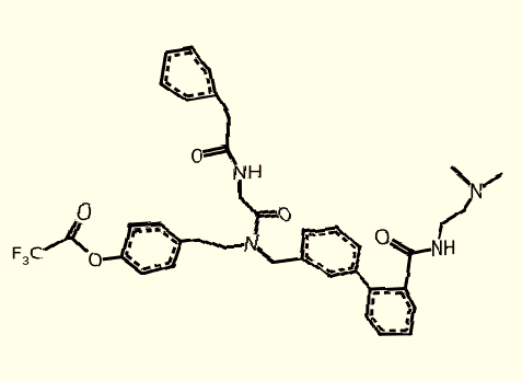 CN(C)CCNC(=O)c1ccccc1-c1cccc(CN(CCc2ccc(OC(=O)C(F)(F)F)cc2)C(=O)CNC(=O)Cc2ccccc2)c1